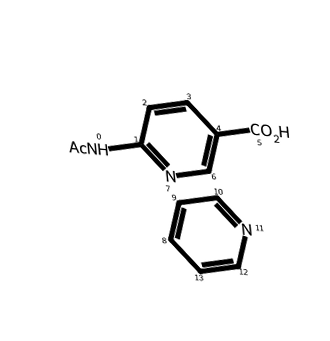 CC(=O)Nc1ccc(C(=O)O)cn1.c1ccncc1